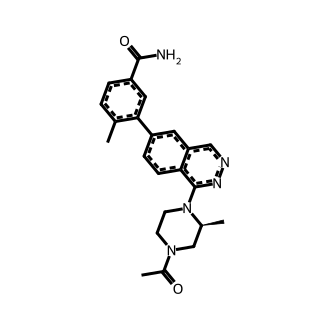 CC(=O)N1CCN(c2nncc3cc(-c4cc(C(N)=O)ccc4C)ccc23)[C@@H](C)C1